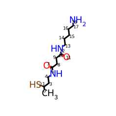 CC(S)CCNC(=O)CCC(=O)NCCCCCN